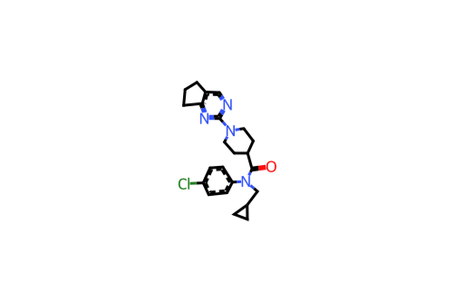 O=C(C1CCN(c2ncc3c(n2)CCC3)CC1)N(CC1CC1)c1ccc(Cl)cc1